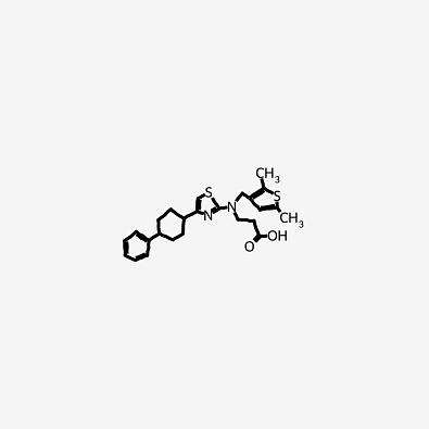 Cc1cc(CN(CCC(=O)O)c2nc(C3CCC(c4ccccc4)CC3)cs2)c(C)s1